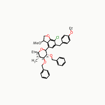 CCOc1ccc(Cc2cc(C3O[C@H](CC)[C@@H](C)[C@H](OCc4ccccc4)[C@H]3OCc3ccccc3)c3c(c2Cl)OCC3OC)cc1